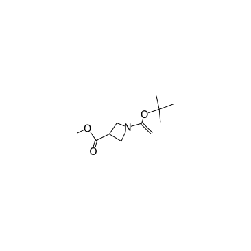 C=C(OC(C)(C)C)N1CC(C(=O)OC)C1